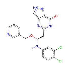 CN(c1ccc(Cl)c(Cl)c1)[C@H](Cc1nc2c[nH]nc2c(=O)[nH]1)OCc1cccnc1